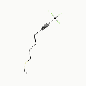 [CH2]SCCCCC#CC(F)(F)F